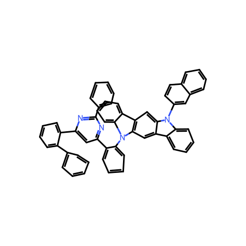 c1ccc(-c2nc(-c3ccccc3-c3ccccc3)cc(-c3ccccc3-n3c4ccccc4c4cc5c(cc43)c3ccccc3n5-c3ccc4ccccc4c3)n2)cc1